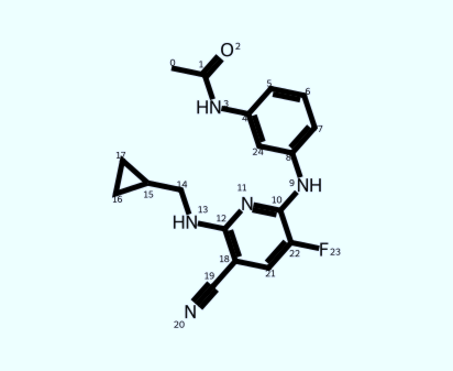 CC(=O)Nc1cccc(Nc2nc(NCC3CC3)c(C#N)cc2F)c1